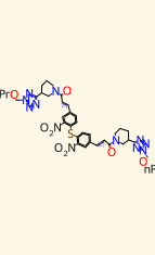 CCCOCn1nnc(C2CCCN(C(=O)/C=C/c3ccc(Sc4ccc(/C=C/C(=O)N5CCCC(c6nnn(COCCC)n6)C5)cc4[N+](=O)[O-])c([N+](=O)[O-])c3)C2)n1